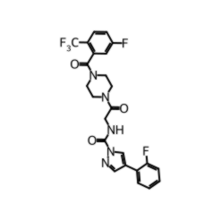 O=C(CNC(=O)n1cc(-c2ccccc2F)cn1)N1CCN(C(=O)c2cc(F)ccc2C(F)(F)F)CC1